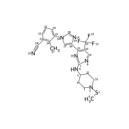 CSN1CCC(Nc2ncc(C(F)(F)F)c(-c3cn(-c4cccc(C#N)c4C)cn3)n2)CC1